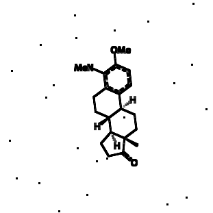 CNc1c(OC)ccc2c1CC[C@@H]1[C@@H]2CC[C@]2(C)C(=O)CC[C@@H]12